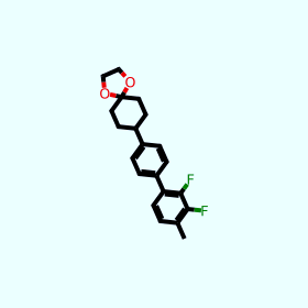 Cc1ccc(-c2ccc(C3CCC4(CC3)OCCO4)cc2)c(F)c1F